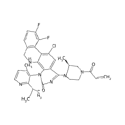 C=CC(=O)N1CCN(c2nc(=O)n(-c3c(C)ccnc3C(C)C)c3c4c(c(Cl)cc23)-c2c(ccc(F)c2F)CN4)[C@@H](C)C1